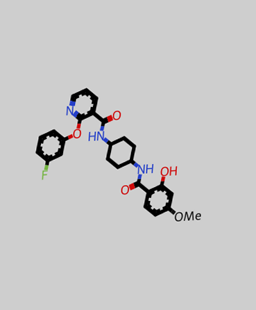 COc1ccc(C(=O)NC2CCC(NC(=O)c3cccnc3Oc3cccc(F)c3)CC2)c(O)c1